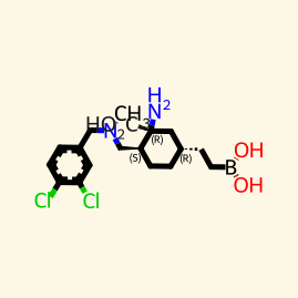 CN(Cc1ccc(Cl)c(Cl)c1)C[C@@H]1CC[C@@H](CCB(O)O)C[C@]1(N)C(=O)O